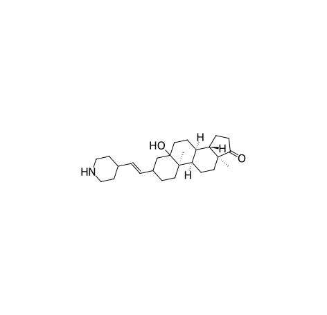 C[C@]12CC[C@@H]3[C@@H](CCC4(O)CC(C=CC5CCNCC5)CC[C@]34C)[C@@H]1CCC2=O